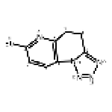 CCc1ccc2c(n1)CCc1nnnn1-2